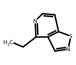 CCc1nccc2sncc12